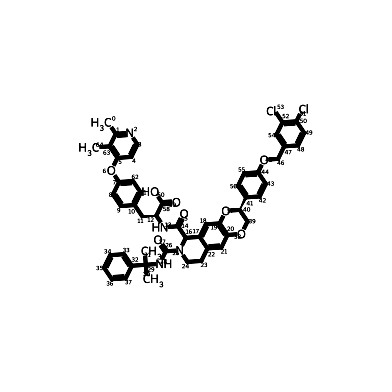 Cc1nccc(Oc2ccc(C[C@H](NC(=O)C3c4cc5c(cc4CCN3C(=O)NC(C)(C)c3ccccc3)OC[C@H](c3ccc(OCc4ccc(Cl)c(Cl)c4)cc3)O5)C(=O)O)cc2)c1C